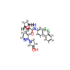 O=C(Nc1ccc(-c2ccccc2F)c(F)c1)C1=C(c2ccnc(N3CC[C@H](O)C3)c2)[C@@H]2CC[C@H]1O2